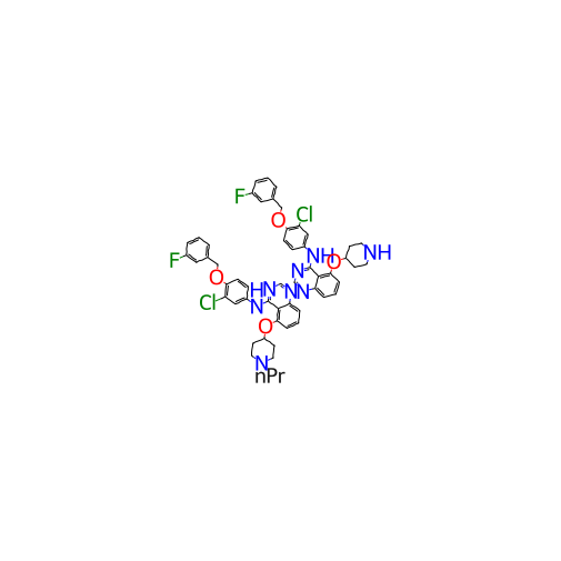 CCCN1CCC(Oc2cccc3ncnc(Nc4ccc(OCc5cccc(F)c5)c(Cl)c4)c23)CC1.Fc1cccc(COc2ccc(Nc3ncnc4cccc(OC5CCNCC5)c34)cc2Cl)c1